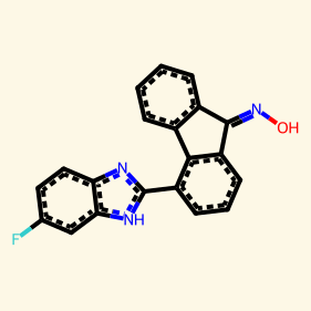 ON=C1c2ccccc2-c2c1cccc2-c1nc2ccc(F)cc2[nH]1